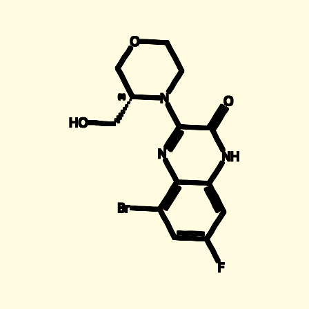 O=c1[nH]c2cc(F)cc(Br)c2nc1N1CCOC[C@H]1CO